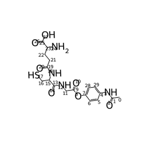 CC(=O)Nc1ccc(OC(=O)CNC(=O)C(CS)NC(=O)CCC(N)C(=O)O)cc1